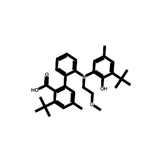 COCCN(c1ccccc1-c1cc(C)cc(C(C)(C)C)c1C(=O)O)c1cc(C)cc(C(C)(C)C)c1O